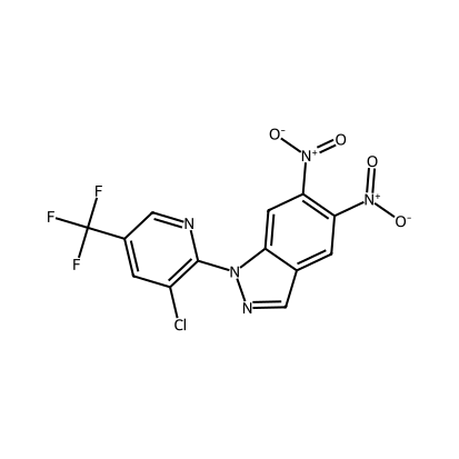 O=[N+]([O-])c1cc2cnn(-c3ncc(C(F)(F)F)cc3Cl)c2cc1[N+](=O)[O-]